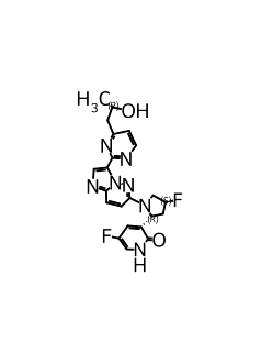 C[C@@H](O)Cc1ccnc(-c2cnc3ccc(N4C[C@@H](F)C[C@@H]4c4cc(F)c[nH]c4=O)nn23)n1